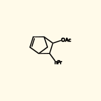 CCCC1C2C=CC(C2)C1OC(C)=O